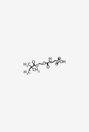 CCC(C)(C)C(=O)OCCOC(=O)NCCS(=O)(=O)O